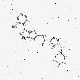 O=C(Nc1nc2[nH]nc(-c3ccccc3Br)c2s1)c1ccc(CN2CCOCC2)o1